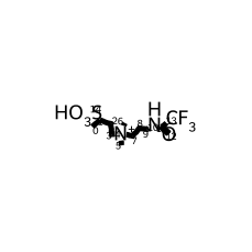 CC(CC[N+](C)(C)CCCNC(=O)C(F)(F)F)S(=O)(=O)O